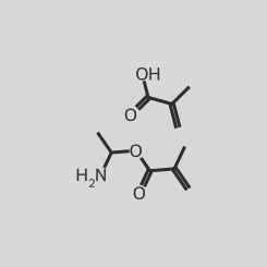 C=C(C)C(=O)O.C=C(C)C(=O)OC(C)N